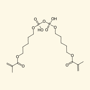 C=C(C)C(=O)OCCCCCOP(=O)(O)OP(=O)(O)OCCCCCOC(=O)C(=C)C